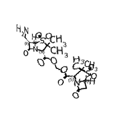 CC1(C)[C@H](C(=O)OCOC(=O)[C@@H]2N3C(=O)[C@@H](CN)[C@H]3S(=O)(=O)C2(C)C)N2C(=O)C[C@H]2S1(=O)=O